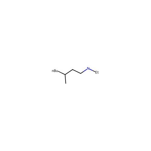 CCCCC(C)CC[N]CC